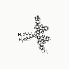 CCCCCCCCC1(CCCCCCCC)c2cc3c(cc2-c2cc4c(cc21)-c1ccc(-c2ccc(C)cc2)cc1[C@H]4C1C(=O)c2ccccc2C1=O)C(=C1C(=O)c2ccccc2C1=O)c1cc(-c2ccc(C(F)(F)F)cc2)ccc1-3